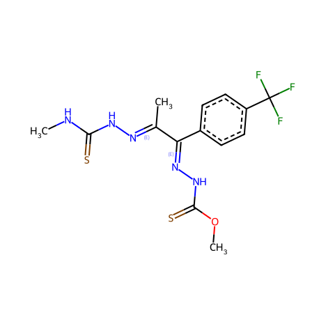 CNC(=S)N/N=C(C)/C(=N/NC(=S)OC)c1ccc(C(F)(F)F)cc1